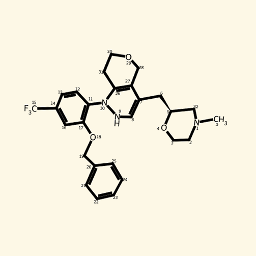 CN1CCO[C@@H](CC2=CNN(c3ccc(C(F)(F)F)cc3OCc3ccccc3)C3=C2COCC3)C1